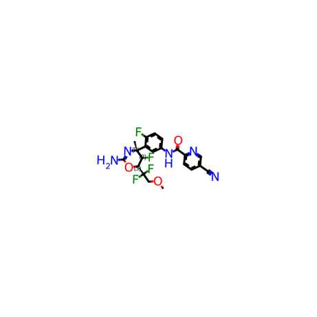 COCC(F)(F)[C@H]1OC(N)=N[C@](C)(c2cc(NC(=O)c3ccc(C#N)cn3)ccc2F)[C@H]1F